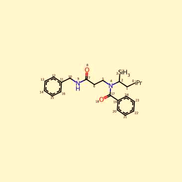 CC(C)CC([SiH3])N(CCC(=O)NCc1ccccc1)C(=O)c1ccccc1